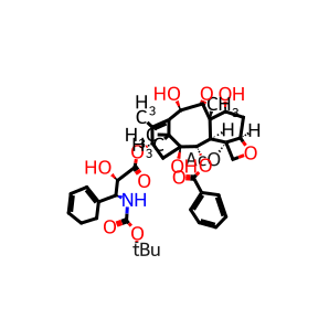 CC(=O)O[C@@]12CO[C@@H]1C[C@H](O)[C@@]1(C)C(=O)[C@H](O)C3=C(C)[C@@H](OC(=O)[C@H](O)[C@@H](NC(=O)OC(C)(C)C)C4=CC=CCC4)C[C@@](O)([C@@H](OC(=O)c4ccccc4)[C@H]21)C3(C)C